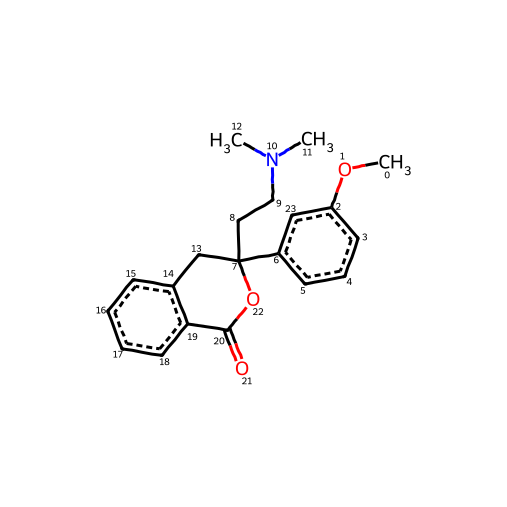 COc1cccc(C2(CCN(C)C)Cc3ccccc3C(=O)O2)c1